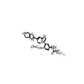 O=C(NCC(F)(F)F)Nc1cccc(-c2cnc3cc(-c4nc5c(s4)CNCC5)ccn23)c1.O=CO